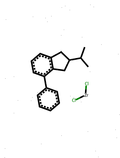 CC(C)C1[CH]c2cccc(-c3ccccc3)c2C1.[Cl][Zr][Cl]